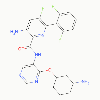 Nc1cc(F)c(-c2c(F)cccc2F)nc1C(=O)Nc1cncnc1OC1CCCC(N)C1